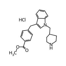 COC(=O)c1ccc(Cc2cn(CC3CCNCC3)c3ccccc23)cc1.Cl